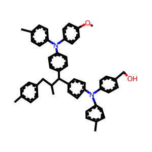 COc1ccc(N(c2ccc(C)cc2)c2ccc(C(c3ccc(N(c4ccc(C)cc4)c4ccc(CO)cc4)cc3)C(C)Cc3ccc(C)cc3)cc2)cc1